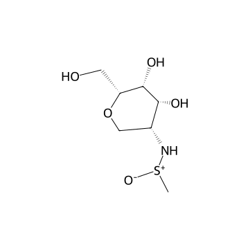 C[S+]([O-])N[C@@H]1CO[C@H](CO)[C@H](O)[C@@H]1O